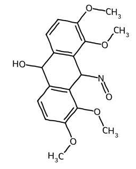 COc1ccc2c(c1OC)C(N=O)c1c(ccc(OC)c1OC)C2O